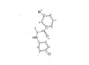 CC(Nc1ccc(Cl)cc1)C(=O)c1cccc(Br)c1